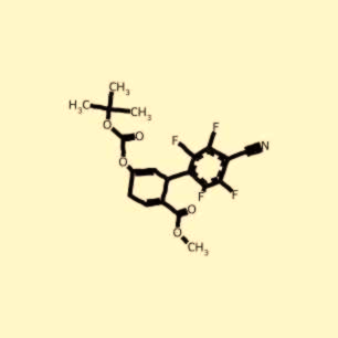 COC(=O)C1=CCC(OC(=O)OC(C)(C)C)=CC1c1c(F)c(F)c(C#N)c(F)c1F